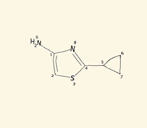 Nc1csc(C2CC2)n1